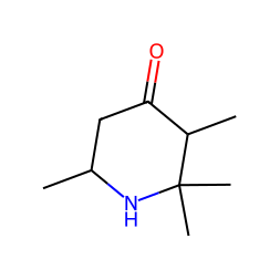 CC1CC(=O)C(C)C(C)(C)N1